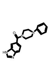 O=C(c1ccc2nc[nH]c2c1)N1CCN(c2ccccc2)CC1